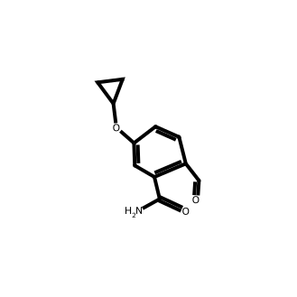 NC(=O)c1cc(OC2CC2)ccc1C=O